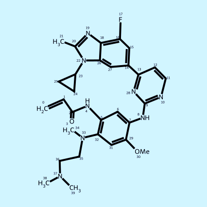 C=CC(=O)Nc1cc(Nc2nccc(-c3cc(F)c4nc(C)n(C5CC5)c4c3)n2)c(OC)cc1N(C)CCN(C)C